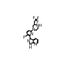 Fc1ccc(N2CCNC(CC(F)(F)F)C2)nc1-c1n[nH]c2ncccc12